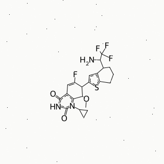 COC1c2c(c(=O)[nH]c(=O)n2C2CC2)C=C(F)C1c1cc2c(s1)CCCC2C(N)C(F)(F)F